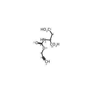 C#CCOC(=O)NC(CC(=O)O)C(=O)O